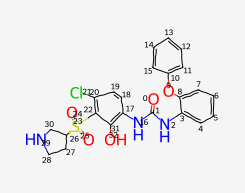 O=C(Nc1ccccc1Oc1ccccc1)Nc1ccc(Cl)c(S(=O)(=O)[C@H]2CCNC2)c1O